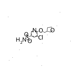 NS(=O)(=O)c1cnc(OCC2CCOC2)c(Cl)c1